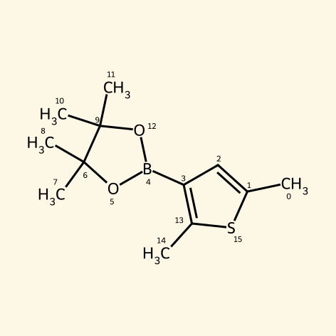 Cc1cc(B2OC(C)(C)C(C)(C)O2)c(C)s1